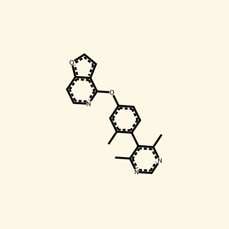 Cc1cc(Oc2nccc3occc23)ccc1-c1c(C)ncnc1C